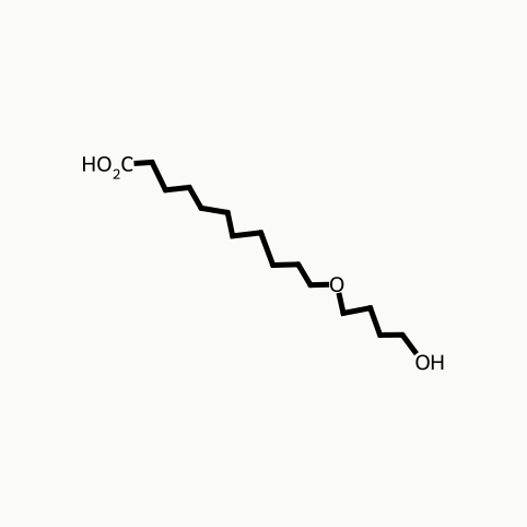 O=C(O)CCCCCCCCCCOCCCCO